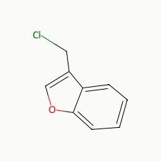 ClCc1coc2ccccc12